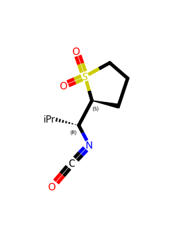 CC(C)[C@@H](N=C=O)[C@@H]1CCCS1(=O)=O